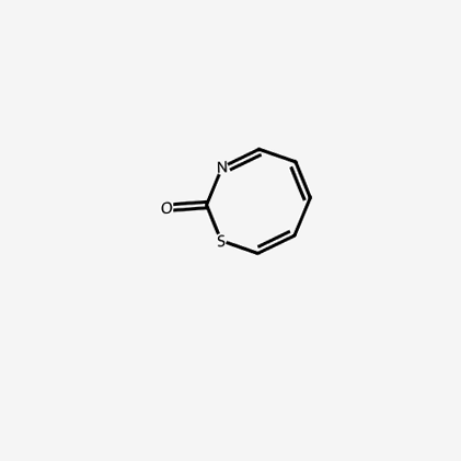 O=C1N=CC=CC=CS1